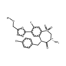 CC(C)OCc1nnc(-c2cc3c(cc2F)S(=O)(=O)C[C@H](N)C(=O)N3Cc2ccc(Cl)cc2)o1